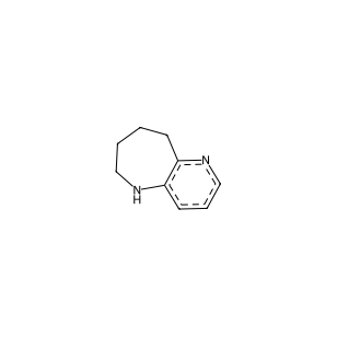 c1cnc2c(c1)NCCCC2